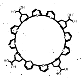 OC(O)C1CC2=CC(C1)C1C=CC=C(C1)C1=CC=CC(C1)C1C=C(CC(C(O)O)C1)C1C=CC=C(C1)C1=CC=CC(C1)C1=CC(CC(C(O)O)C1)C1C=CC=C(C1)C1=CC=CC(C1)C1=CC(CC(C(O)O)C1)C1C=CC=C(C1)C1C=CC=C2C1